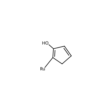 OC1=[C]([Ru])CC=C1